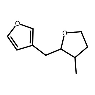 CC1CCOC1Cc1ccoc1